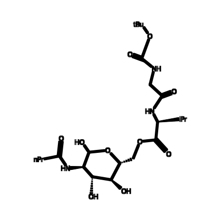 CCCC(=O)N[C@H]1C(O)O[C@H](COC(=O)[C@@H](NC(=O)CNC(=O)OC(C)(C)C)C(C)C)[C@@H](O)[C@@H]1O